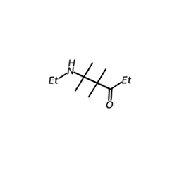 CCNC(C)(C)C(C)(C)C(=O)CC